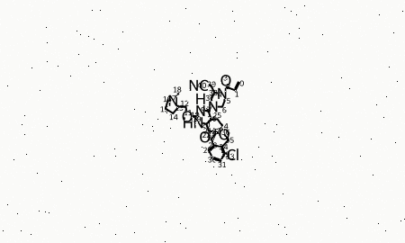 C=CC(=O)N1CCN(C2NC(OCC3CCCN3C)NC3C(=O)[C@]4(CCC32)Cc2cccc(Cl)c2CO4)CC1CC#N